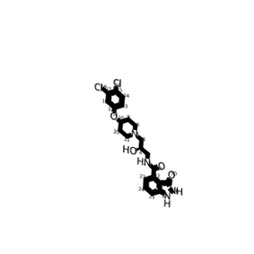 O=C(NC[C@@H](O)CN1CCC(Oc2ccc(Cl)c(Cl)c2)CC1)c1cccc2[nH][nH]c(=O)c12